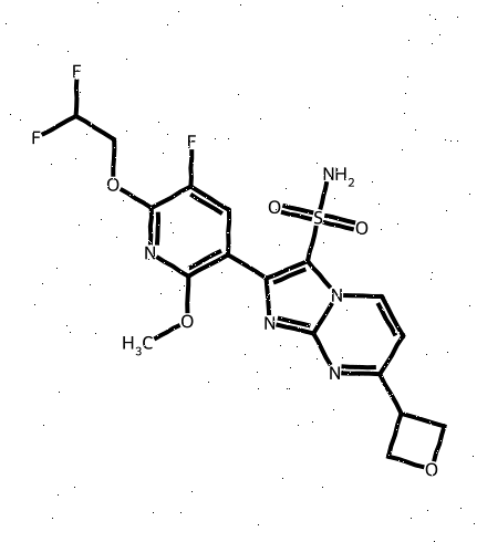 COc1nc(OCC(F)F)c(F)cc1-c1nc2nc(C3COC3)ccn2c1S(N)(=O)=O